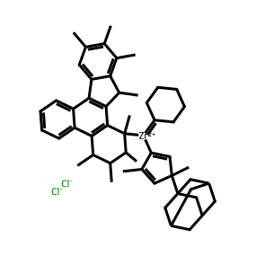 CC1=CC(C)(C23CC4CC(CC(C4)C2)C3)C=[C]1[Zr+2](=[C]1CCCCC1)[C]1(C)c2c3c(c4ccccc4c2C(C)C(C)C1C)-c1cc(C)c(C)c(C)c1C3C.[Cl-].[Cl-]